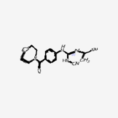 CC(/N=C(\NC#N)Nc1ccc(C(=O)N2CCOCC2)cc1)C(C)(C)C